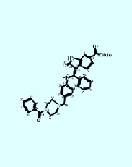 COC(=O)c1ccc2c(c1)NC(=O)/C2=C(\Nc1ccc(CN2CCN(C(=O)c3ccccc3)CC2)cc1)c1ccccc1